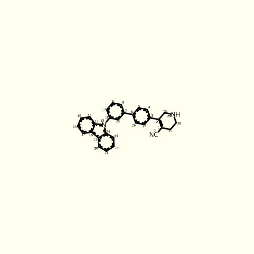 N#CC1=C(c2ccc(-c3cccc(-n4c5ccccc5c5ccccc54)c3)cc2)CNCC1